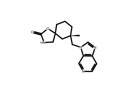 C[C@]1(Cn2cnc3ccncc32)CCCC2(CNC(=O)O2)C1